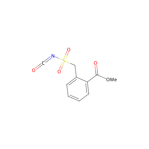 COC(=O)c1ccccc1CS(=O)(=O)N=C=O